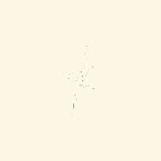 CCCCCCCC[O][Sn]([CH2]CCC)([CH2]CCC)[O][Sn]([CH2]CCC)([CH2]CCC)[O]CCCCCCCC